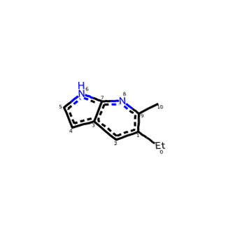 CCc1cc2cc[nH]c2nc1C